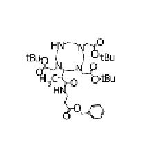 CC(C(=O)NCCC(=O)OCc1ccccc1)C1CN(CC(=O)OC(C)(C)C)CCN(CC(=O)OC(C)(C)C)CCNCCN1CC(=O)OC(C)(C)C